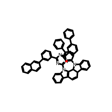 C1=CC2c3ccccc3N(c3ccc(-c4ccccc4)cc3)C2c2c1c1ccccc1n2-c1nc(-c2cccc(-c3ccccc3)c2)nc(-c2cccc(-c3ccc4ccccc4c3)c2)n1